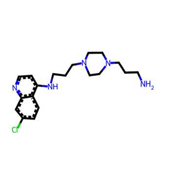 NCCCN1CCN(CCCNc2ccnc3cc(Cl)ccc23)CC1